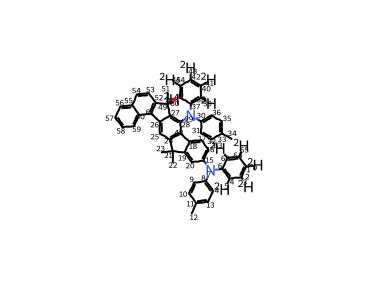 [2H]c1c([2H])c([2H])c(N(c2ccc(C)cc2)c2ccc3c(c2)C(C)(C)c2cc4c(c(N(c5ccc(C)cc5)c5c([2H])c([2H])c([2H])c([2H])c5[2H])c2-3)C(C)(C)c2ccc3ccccc3c2-4)c([2H])c1[2H]